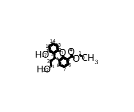 CCOC(=O)c1ccccc1Oc1cccc(O)c1CCCO